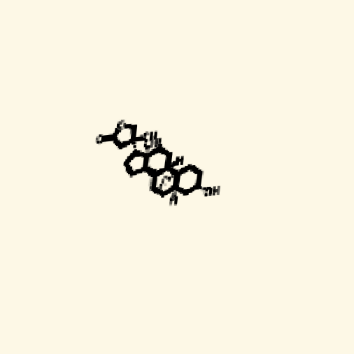 CC1([C@H]2CCC3=C4CC[C@@H]5C[C@@H](O)CC[C@]5(C)[C@H]4CC[C@@]32C)COC(=O)C1